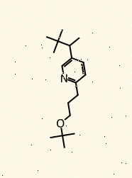 CC(c1ccc(CCCOC(C)(C)C)nc1)C(C)(C)C